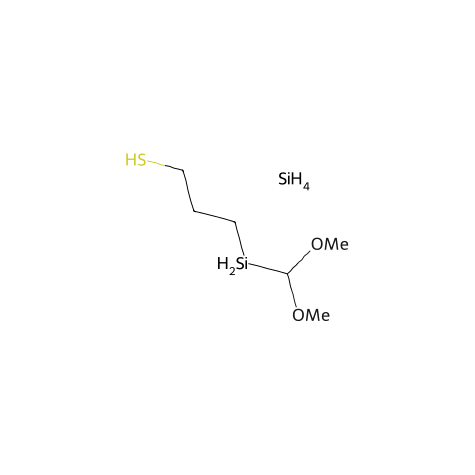 COC(OC)[SiH2]CCCS.[SiH4]